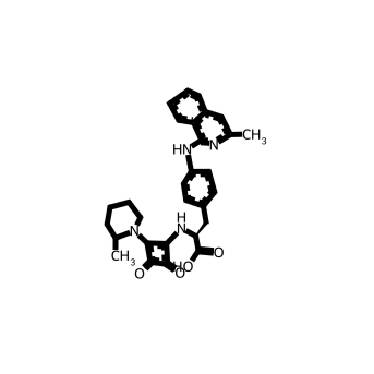 Cc1cc2ccccc2c(Nc2ccc(C[C@H](Nc3c(N4CCCCC4C)c(=O)c3=O)C(=O)O)cc2)n1